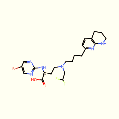 O=C(O)[C@H](CCN(CCCCc1ccc2c(n1)NCCC2)CC(F)F)Nc1ncc(Br)cn1